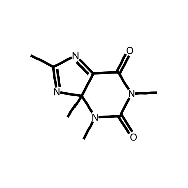 CC1=NC2(C)C(=N1)C(=O)N(C)C(=O)N2C